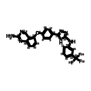 Nc1ncc2c(Oc3ccc(-c4nnc(Nc5cccc(C(F)(F)F)c5)[nH]4)cc3)cccc2n1